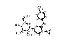 OCC1O[C@@H](c2ccc(C3CC3)c(Cc3ccc(C(F)(F)F)cc3)c2)[C@H](O)[C@@H](O)[C@@H]1O